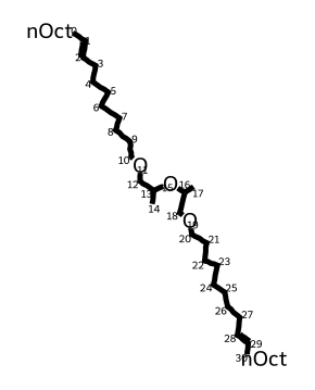 CCCCCCCCC=CCCCCCCCCOCC(C)OC(C)COCCCCCCCCC=CCCCCCCCC